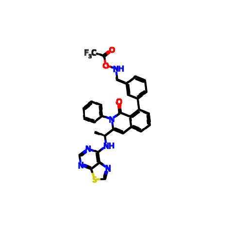 C[C@H](Nc1ncnc2scnc12)c1cc2cccc(-c3cccc(CNOC(=O)C(F)(F)F)c3)c2c(=O)n1-c1ccccc1